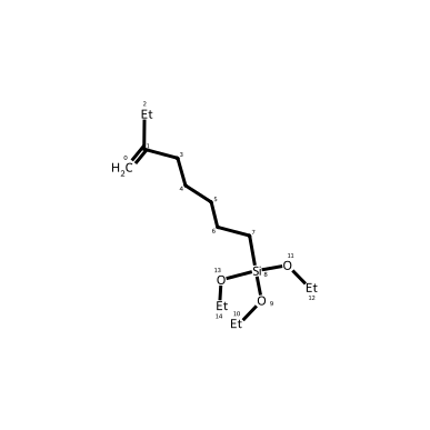 C=C(CC)CCCCC[Si](OCC)(OCC)OCC